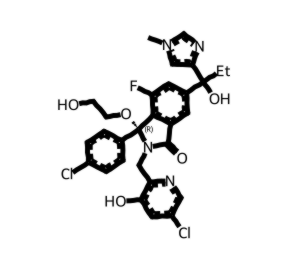 CCC(O)(c1cc(F)c2c(c1)C(=O)N(Cc1ncc(Cl)cc1O)[C@@]2(OCCO)c1ccc(Cl)cc1)c1cn(C)cn1